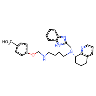 O=C(O)c1ccc(OCNCCCCN(Cc2nc3ccccc3[nH]2)[C@H]2CCCc3cccnc32)cc1